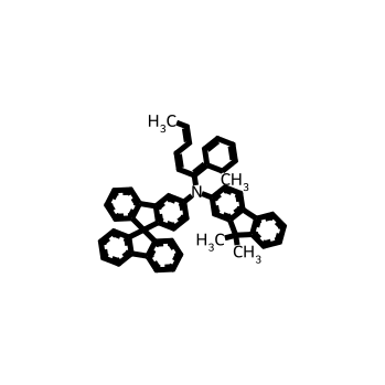 C\C=C/C=C\C(=C1/C=CC=CC1C)N(c1ccc2c(c1)-c1ccccc1C21c2ccccc2-c2ccccc21)c1ccc2c(c1)C(C)(C)c1ccccc1-2